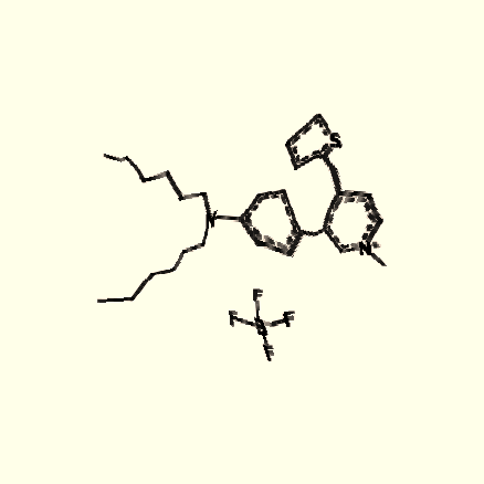 CCCCCCN(CCCCCC)c1ccc(-c2c[n+](C)ccc2-c2cccs2)cc1.F[B-](F)(F)F